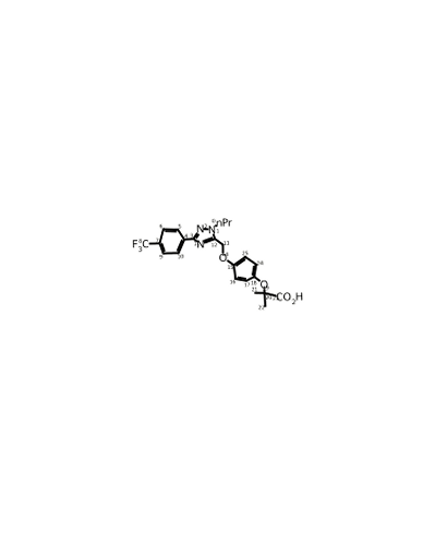 CCCn1nc(-c2ccc(C(F)(F)F)cc2)nc1COc1ccc(OC(C)(C)C(=O)O)cc1